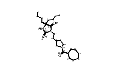 CCCCC1(CCCC)NC(=N)N(CCC2CCN(C(=O)C3CCCCCC3)C2)C1=O